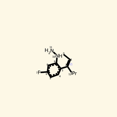 C/C=C(\c1ccc(F)cc1NN)C(C)C